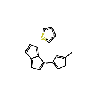 CC1=CC(C2=CC=C3C=CC=C32)=CC1.c1ccsc1